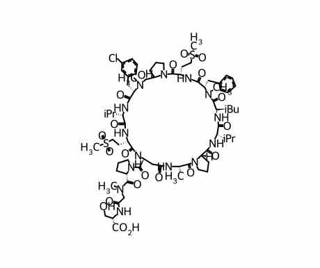 CC[C@H](C)[C@@H]1NC(=O)[C@H](C(C)C)NC(=O)[C@@H]2CCCN2C(=O)[C@H](C)NC(=O)C[C@@H](C(=O)N2CCC[C@H]2C(=O)N(C)CC(=O)N[C@@H](CO)C(=O)O)NC(=O)[C@H](CCS(C)(=O)=O)NC(=O)[C@H](C(C)C)NC(=O)[C@H](Cc2cccc(Cl)c2)N(C)C(=O)[C@@H]2CCCN2C(=O)[C@H](CCS(C)(=O)=O)NC(=O)[C@H](Cc2ccccc2)N(C)C1=O